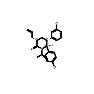 C=CC[C@@H]1C[C@H](c2cccc(Cl)c2)[C@@](C)(c2ccc(Cl)cc2)N(C(C)C)C1=O